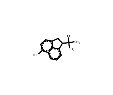 CCC(C)(C)C1Cc2ccc(P)c3cccc1c23